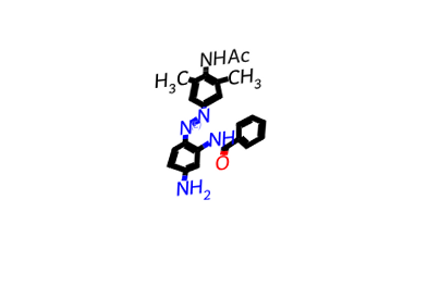 CC(=O)Nc1c(C)cc(/N=N/c2ccc(N)cc2NC(=O)c2ccccc2)cc1C